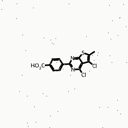 Cc1sc2nc(-c3ccc(C(=O)O)cc3)nc(Cl)c2c1Cl